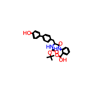 CC(C)(C)OC(=O)NC(Cc1ccc(-c2ccc(O)cc2)cc1)C(=O)Nc1ccccc1C(=O)O